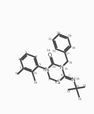 Cc1cccc(N2CS/C(=N\C(C)(C)C)N(Cc3ccccc3)C2=O)c1C